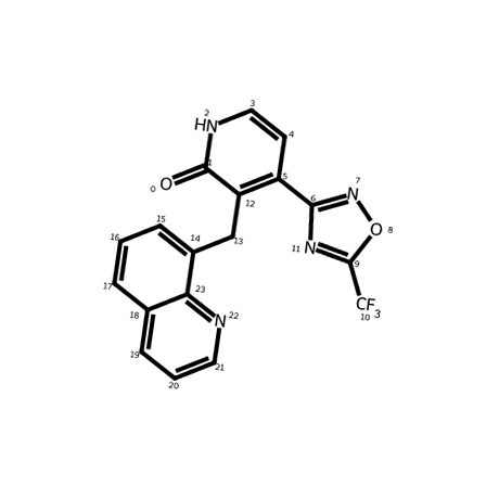 O=c1[nH]ccc(-c2noc(C(F)(F)F)n2)c1Cc1cccc2cccnc12